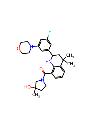 CC1(O)CCN(C(=O)c2cccc3c2NC(c2cc(F)cc(N4CCOCC4)c2)CC3(C)C)C1